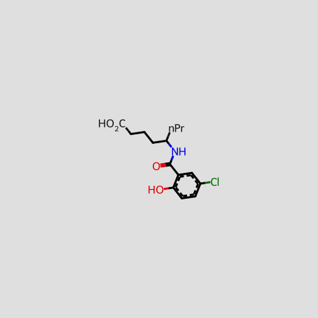 CCCC(CCCC(=O)O)NC(=O)c1cc(Cl)ccc1O